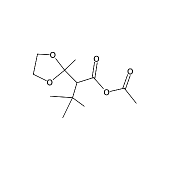 CC(=O)OC(=O)C(C(C)(C)C)C1(C)OCCO1